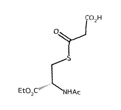 CCOC(=O)[C@H](CSC(=O)CC(=O)O)NC(C)=O